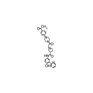 CC(=O)c1ccc(N2CCN(C(=O)CN3CC[C@@H](C(=O)Nc4ccc(O)c(-c5ccccn5)c4)C3)CC2)cc1